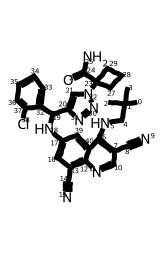 CC(C)(C)CNc1c(C#N)cnc2c(C#N)cc(NC(c3cn(C4(C(N)=O)CCC4)nn3)c3ccccc3Cl)cc12